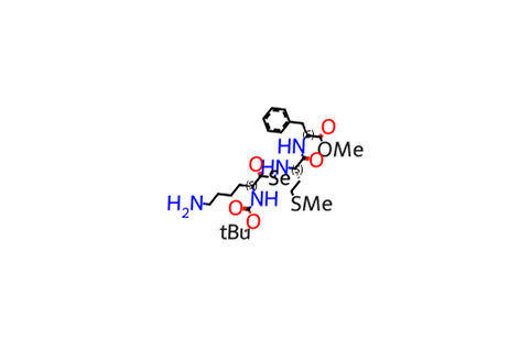 COC(=O)[C@H](Cc1ccccc1)NC(=O)[C@H](CCSC)N[Se]C(=O)[C@H](CCCCN)NC(=O)OC(C)(C)C